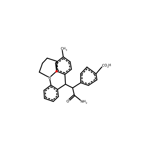 Cc1ccc(C(c2ccccc2N2CCCCC2)C(C(N)=O)c2ccc(C(=O)O)cc2)cc1